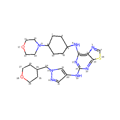 c1nc2c(NC3CCC(N4CCOCC4)CC3)nc(Nc3cnn(CC4CCOCC4)c3)nc2s1